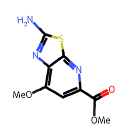 COC(=O)c1cc(OC)c2nc(N)sc2n1